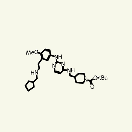 COc1ccc(Nc2nccc(NCC3CCN(C(=O)OC(C)(C)C)CC3)n2)cc1CCNCC1CCCC1